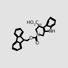 O=C(O)[C@@H]1CN(C(=O)OCC2c3ccccc3-c3ccccc32)Cc2[nH]c3ccccc3c21